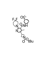 Cc1c(C2CN(C(=O)OC(C)(C)C)C2)cnc(N2CCCC(F)(F)CC2)c1C(=O)Nc1cccc([S+](C)[O-])c1